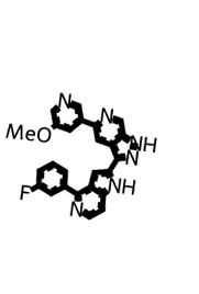 COc1cncc(-c2cc3c(-c4cc5c(-c6cccc(F)c6)nccc5[nH]4)n[nH]c3cn2)c1